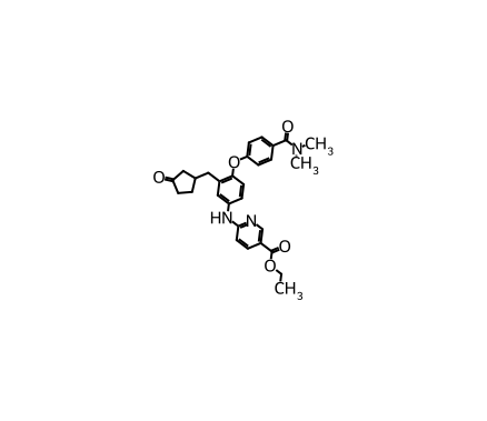 CCOC(=O)c1ccc(Nc2ccc(Oc3ccc(C(=O)N(C)C)cc3)c(CC3CCC(=O)C3)c2)nc1